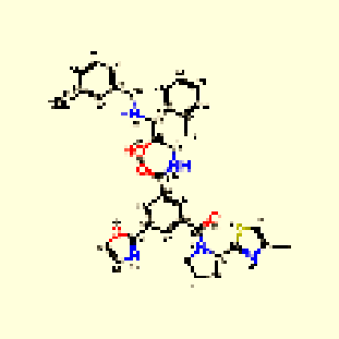 Cc1csc([C@H]2CCCN2C(=O)c2cc(C(=O)N[C@@H](Cc3ccccc3)[C@@H](O)CNCc3cccc(C(C)(C)C)c3)cc(-c3ncco3)c2)n1